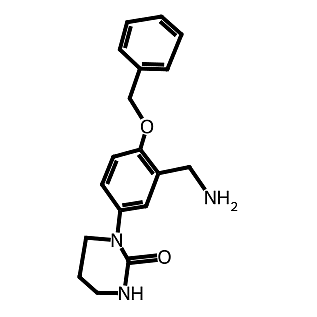 NCc1cc(N2CCCNC2=O)ccc1OCc1ccccc1